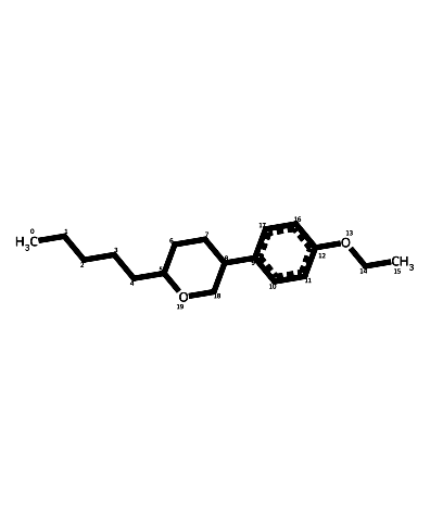 CCCCCC1CCC(c2ccc(OCC)cc2)CO1